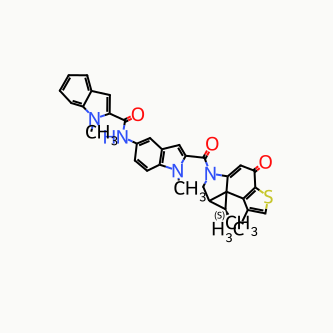 Cc1csc2c1C13C(=CC2=O)N(C(=O)c2cc4cc(NC(=O)c5cc6ccccc6n5C)ccc4n2C)CC1[C@@H]3C